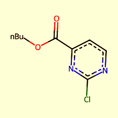 CCCCOC(=O)c1ccnc(Cl)n1